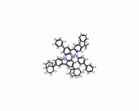 CC1(C)c2ccccc2-c2cc3c(cc21)N(c1ccc(-c2ccccc2)cc1)B1c2c-3cc(-c3ccccc3)cc2-n2c3ccc(C45CCCC(CCC4)C5)cc3c3cc(C45CCCC(CCC4)C5)cc1c32